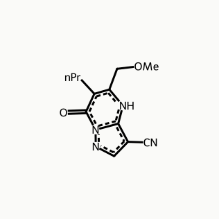 CCCc1c(COC)[nH]c2c(C#N)cnn2c1=O